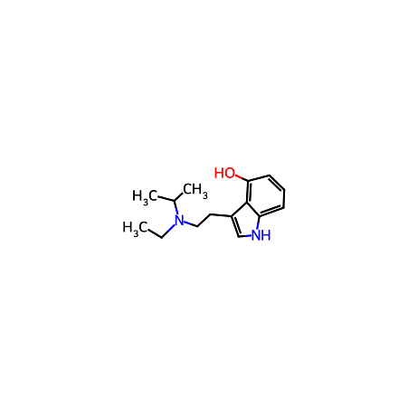 CCN(CCc1c[nH]c2cccc(O)c12)C(C)C